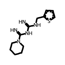 N=C(NCc1cccs1)NC(=N)N1CCCCC1